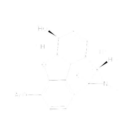 CC(=O)Oc1ccc2c3c1O[C@H]1[C@@H](O)C=C[C@H]4[C@@H]5N(C)C25C[C@@]341